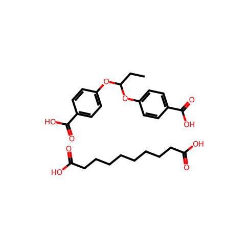 CCC(Oc1ccc(C(=O)O)cc1)Oc1ccc(C(=O)O)cc1.O=C(O)CCCCCCCCC(=O)O